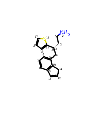 NCC[C@H](Cc1cccc2c1CC=C2)c1cccs1